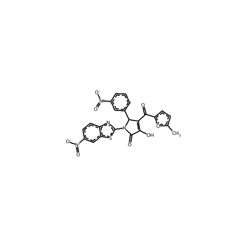 Cc1ccc(C(=O)C2=C(O)C(=O)N(c3nc4ccc([N+](=O)[O-])cc4s3)C2c2cccc([N+](=O)[O-])c2)o1